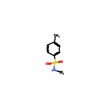 C[N+]S(=O)(=O)c1ccc(C)cc1